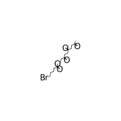 CC(=O)CCC(=O)CCC(=O)CCOC(=O)CCCCBr